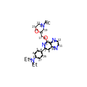 CCN(CC)c1ccc(-c2cc3nccnc3c(OC[C@@H]3CN(C(C)=O)CCO3)n2)cc1